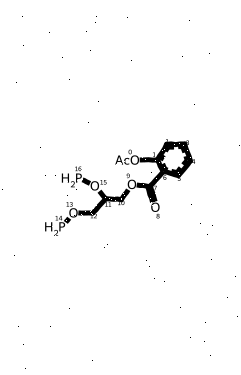 CC(=O)Oc1ccccc1C(=O)OCC(COP)OP